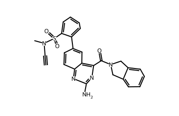 C#CN(C)S(=O)(=O)c1ccccc1-c1ccc2nc(N)nc(C(=O)N3Cc4ccccc4C3)c2c1